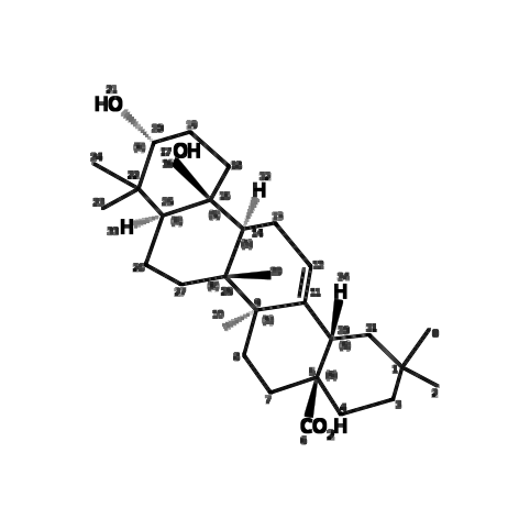 CC1(C)CC[C@]2(C(=O)O)CC[C@]3(C)C(=CC[C@@H]4[C@@]5(CO)CC[C@@H](O)C(C)(C)[C@@H]5CC[C@]43C)[C@@H]2C1